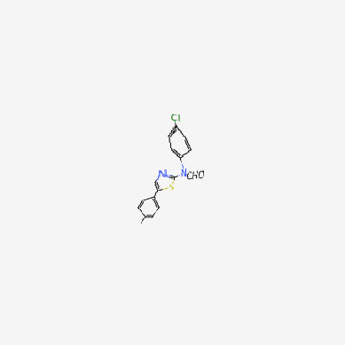 Cc1ccc(-c2cnc(N(C=O)c3ccc(Cl)cc3)s2)cc1